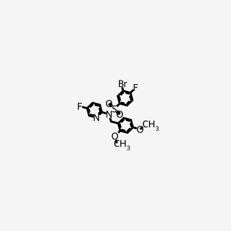 COc1ccc(CN(c2ccc(F)cn2)S(=O)(=O)c2ccc(F)c(Br)c2)c(OC)c1